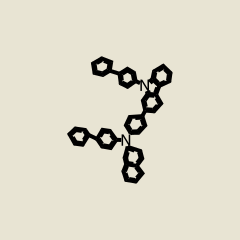 c1ccc(-c2ccc(N(c3ccc(-c4ccc5c6ccccc6n(-c6ccc(-c7ccccc7)cc6)c5c4)cc3)c3ccc4ccccc4c3)cc2)cc1